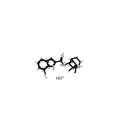 CC1(C)C(NC(=O)c2cc3cccc(F)c3s2)C2CCN1CC2.Cl